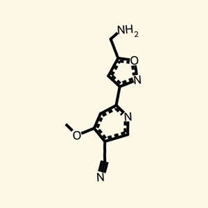 COc1cc(-c2cc(CN)on2)ncc1C#N